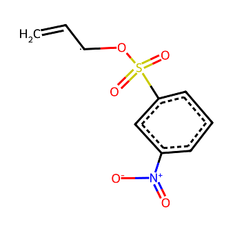 C=C[CH]OS(=O)(=O)c1cccc([N+](=O)[O-])c1